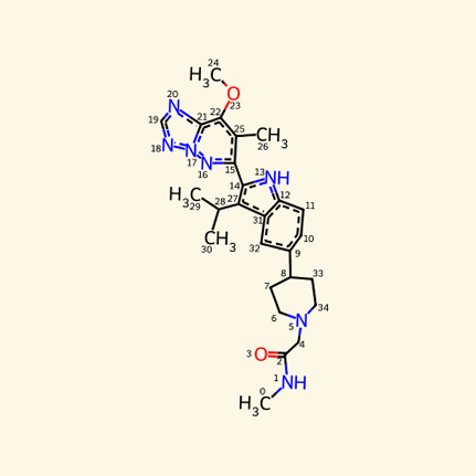 CNC(=O)CN1CCC(c2ccc3[nH]c(-c4nn5ncnc5c(OC)c4C)c(C(C)C)c3c2)CC1